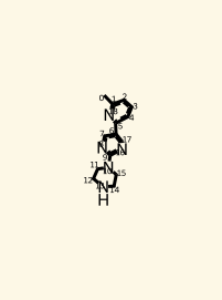 Cc1cccc(-c2cnc(N3CCNCC3)nc2)n1